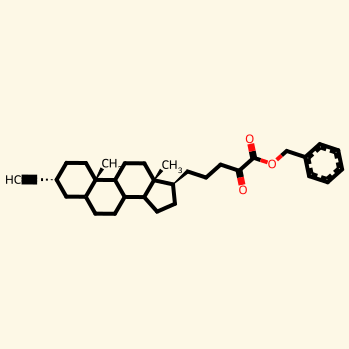 C#C[C@@H]1CC[C@@]2(C)C(CCC3C2CC[C@@]2(C)C3CC[C@@H]2CCCC(=O)C(=O)OCc2ccccc2)C1